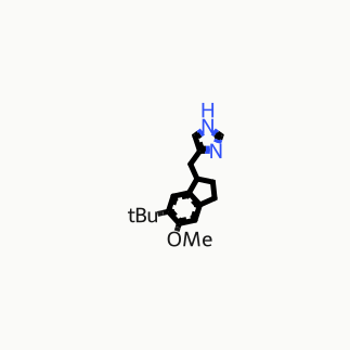 COc1cc2c(cc1C(C)(C)C)C(Cc1c[nH]cn1)CC2